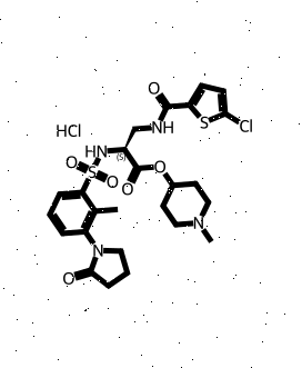 Cc1c(N2CCCC2=O)cccc1S(=O)(=O)N[C@@H](CNC(=O)c1ccc(Cl)s1)C(=O)OC1CCN(C)CC1.Cl